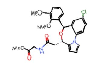 COC(=O)CNC(=O)C[C@@H]1O[C@@H](c2cccc(OC)c2OC)c2cc(Cl)ccc2-n2cccc21